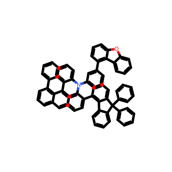 c1ccc(-c2cccc3cccc(-c4ccccc4N(c4cccc(-c5cccc6oc7ccccc7c56)c4)c4ccccc4-c4cccc5c4-c4ccccc4C5(c4ccccc4)c4ccccc4)c23)cc1